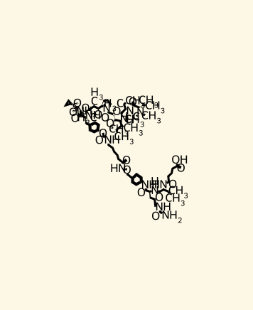 CC[C@H](C)[C@@H]([C@@H](CC(=O)N1CCC[C@H]1[C@H](OC)[C@@H](C)C(=O)N[C@@H](Cc1ccc(OC(=O)NCCCCCC(=O)NOCc2ccc(NC(=O)[C@H](CCCNC(N)=O)NC(=O)[C@@H](NC(=O)CCCC(=O)O)C(C)C)cc2)cc1)C(=O)NS(=O)(=O)C1CC1)OC)N(C)C(=O)[C@@H](NC(=O)[C@H](C(C)C)N(C)C)C(C)C